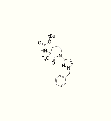 CC(C)(C)OC(=O)NC1(C(F)(F)F)CCCN(c2ccn(Cc3ccccc3)n2)C1=O